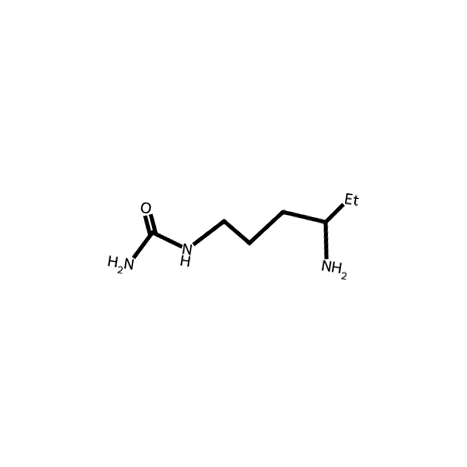 CCC(N)CCCNC(N)=O